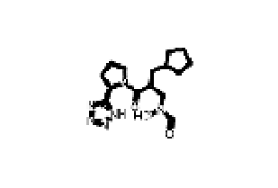 O=CN(O)CC(CC1CCCC1)C(=O)N1CCCC1c1nnn[nH]1